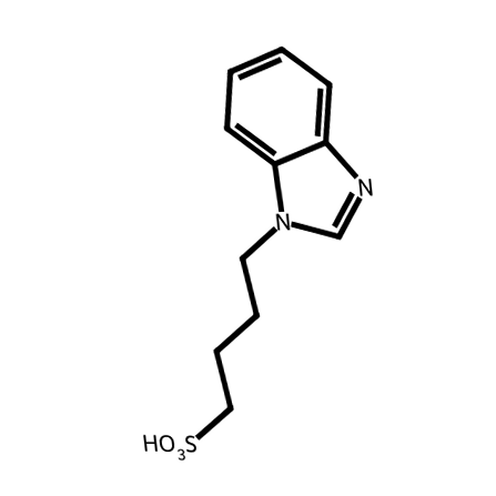 O=S(=O)(O)CCCCn1cnc2ccccc21